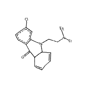 CCN(CC)CCN1c2cc(Cl)ccc2C(=O)C2C=CC=CC21